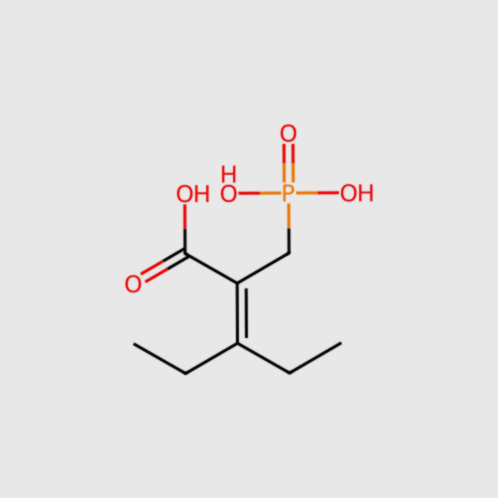 CCC(CC)=C(CP(=O)(O)O)C(=O)O